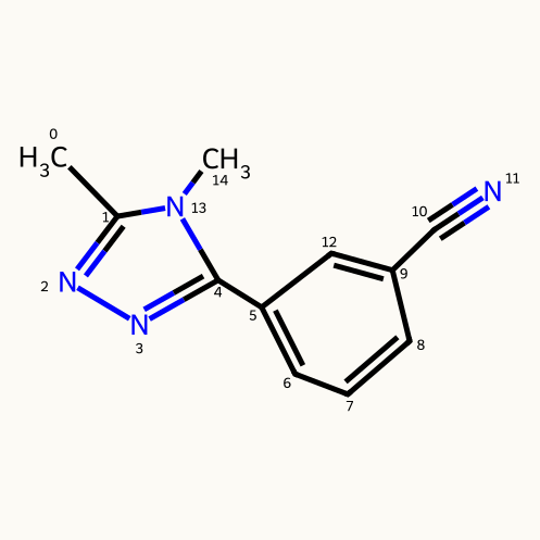 Cc1nnc(-c2cccc(C#N)c2)n1C